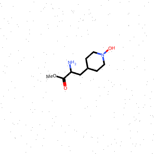 COC(=O)C(N)CC1CCN(O)CC1